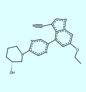 CCOc1cc(-c2cnc(N3CCC[C@@H](O)C3)cn2)c2c(C#N)cnn2c1